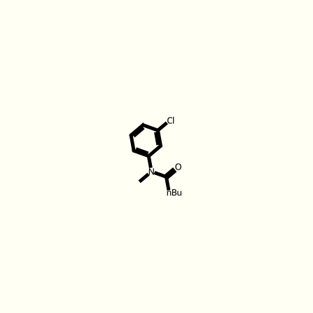 CCCCC(=O)N(C)c1cc[c]c(Cl)c1